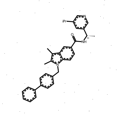 Cc1c(C)n(Cc2ccc(-c3ccccc3)cc2)c2ccc(C(=O)N[C@@H](C)c3cncc(C(C)C)c3)cc12